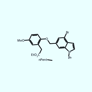 CCCCCC.CCOC(=O)Cc1cc(OC)ccc1OCc1cc(Br)c2ccn(C(C)C)c2c1